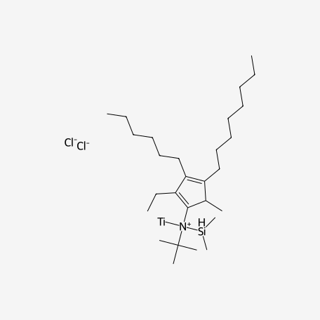 CCCCCCCCC1=C(CCCCCC)C(CC)=C([N+]([Ti])([SiH](C)C)C(C)(C)C)C1C.[Cl-].[Cl-]